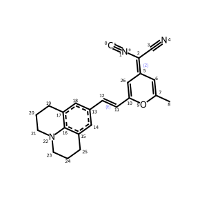 [C-]#[N+]/C(C#N)=C1/C=C(C)OC(/C=C/c2cc3c4c(c2)CCCN4CCC3)=C1